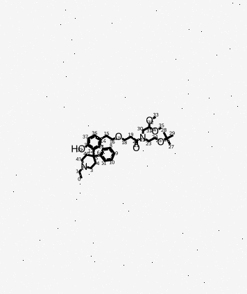 CCN1CCC(c2ccccc2)(c2cc(CCOCCC(=O)N(CCOC(C)(C)C)CC(OC)OC)ccc2O)CC1